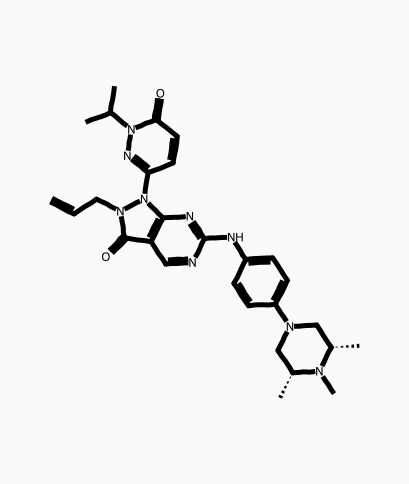 C=CCn1c(=O)c2cnc(Nc3ccc(N4C[C@@H](C)N(C)[C@@H](C)C4)cc3)nc2n1-c1ccc(=O)n(C(C)C)n1